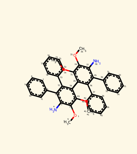 COc1c(N)c(-c2ccccc2)c(-c2ccccc2)c(-c2c(OC)c(OC)c(N)c(-c3ccccc3)c2-c2ccccc2)c1OC